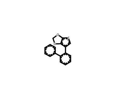 c1ccc(-c2ccccc2-c2csc3c2OCO3)cc1